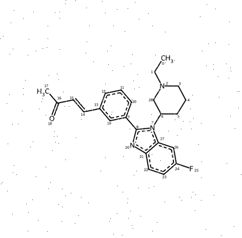 CCN1CCCC(n2c(-c3cccc(/C=C/C(C)=O)c3)nc3ccc(F)cc32)C1